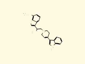 COc1cccc2c(C(C)CN3CC=C(c4c[nH]c5ccccc45)CC3)coc12